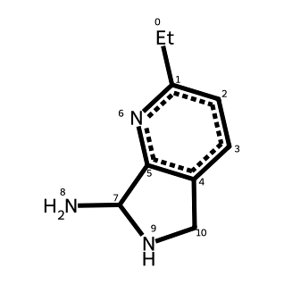 CCc1ccc2c(n1)C(N)NC2